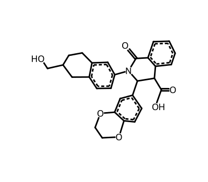 O=C(O)C1c2ccccc2C(=O)N(c2ccc3c(c2)CCC(CO)C3)C1c1ccc2c(c1)OCCO2